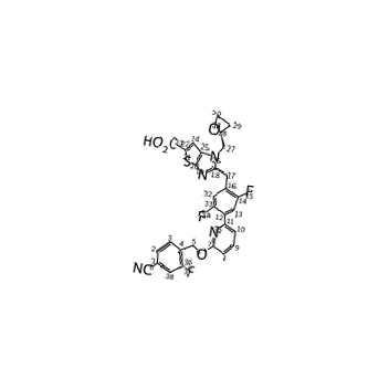 N#Cc1ccc(COc2cccc(-c3cc(F)c(Cc4nc5sc(C(=O)O)cc5n4C[C@@H]4CCO4)cc3F)n2)c(F)c1